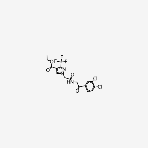 CCOC(=O)c1cn(CC(=O)NCC(=O)c2ccc(Cl)c(Cl)c2)nc1C(F)(F)F